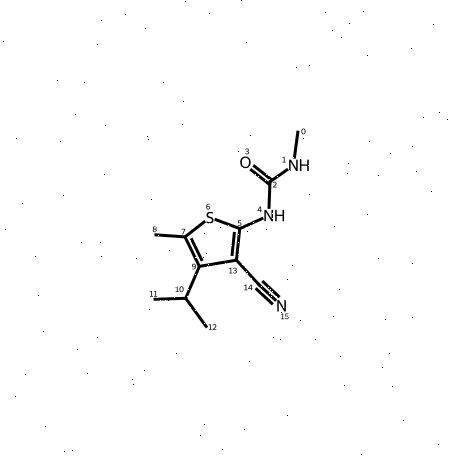 CNC(=O)Nc1sc(C)c(C(C)C)c1C#N